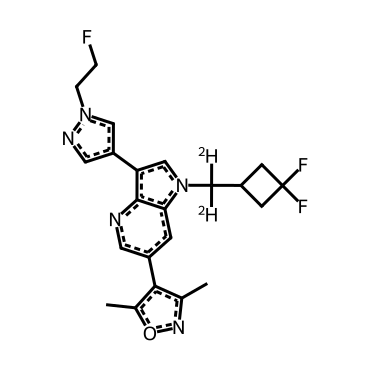 [2H]C([2H])(C1CC(F)(F)C1)n1cc(-c2cnn(CCF)c2)c2ncc(-c3c(C)noc3C)cc21